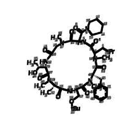 CC(C)CC1C(=O)NC(C(=O)N2CCCCC2)C(=O)N(C)CC(=O)N[C@@H]([C@@H](C)O)C(=O)N(C)[C@@H](C)C(=O)NC(COC(C)(C)C)C(=O)N(C)[C@@H](Cc2ccccc2)C(=O)N1C